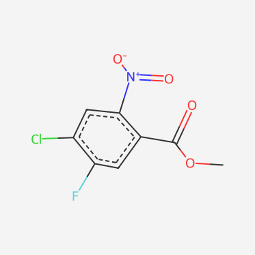 COC(=O)c1cc(F)c(Cl)cc1[N+](=O)[O-]